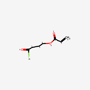 C=CC(=O)OCCCC(=O)F